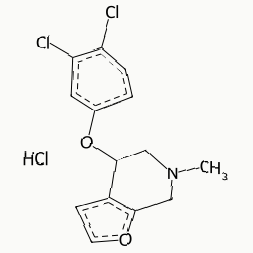 CN1Cc2occc2C(Oc2ccc(Cl)c(Cl)c2)C1.Cl